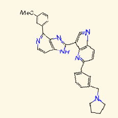 COc1cccc(-c2nccc3[nH]c(C4=C=Nc5ccc(-c6cccc(CN7CCCC7)c6)nc54)nc23)c1